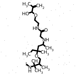 C=C(C)C(O)OCCNC(=O)CNC(C)CC(C)(CC)OCC(C)C(C)(C)NI